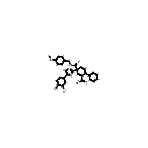 COc1ccc(CNC(=O)C2(c3nc(-c4ccc(Cl)c(Cl)c4)cs3)C=CC(c3ccccc3)C(C(=O)O)=C2)cc1